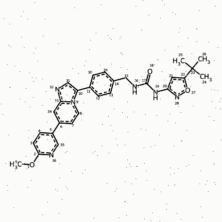 COc1ccc(-c2ccn3c(-c4ccc(CNC(=O)Nc5cc(C(C)(C)C)on5)cc4)cnc3c2)cn1